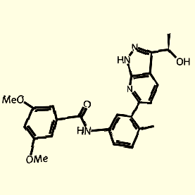 COc1cc(OC)cc(C(=O)Nc2ccc(C)c(-c3ccc4c([C@@H](C)O)n[nH]c4n3)c2)c1